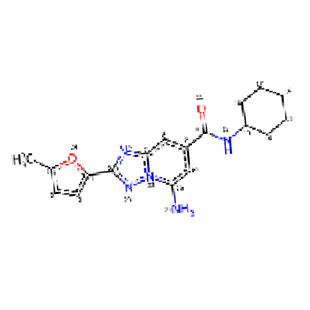 Cc1ccc(-c2nc3cc(C(=O)NC4CCCCC4)cc(N)n3n2)o1